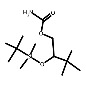 CC(C)(C)C(COC(N)=O)O[Si](C)(C)C(C)(C)C